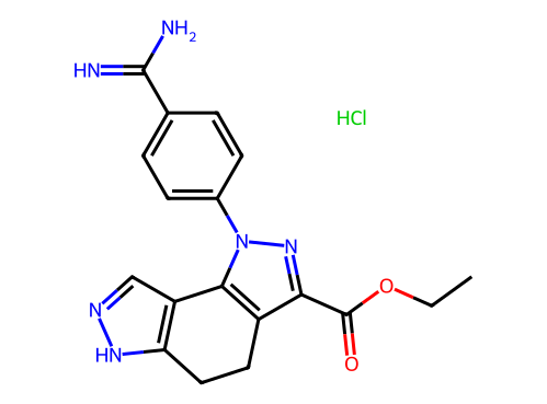 CCOC(=O)c1nn(-c2ccc(C(=N)N)cc2)c2c1CCc1[nH]ncc1-2.Cl